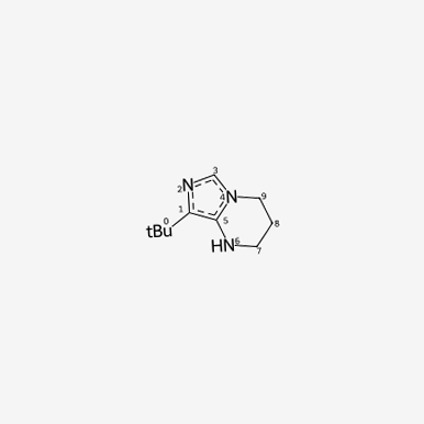 CC(C)(C)c1ncn2c1NCCC2